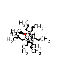 [2H][Si]([Si](CC=C)(CC=C)CC=C)([Si](CC=C)(CC=C)CC=C)[Si](CC=C)(CC=C)CC=C